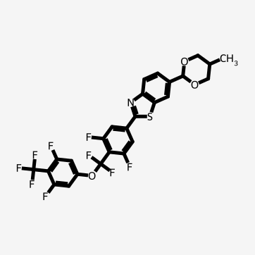 CC1COC(c2ccc3nc(-c4cc(F)c(C(F)(F)Oc5cc(F)c(C(F)(F)F)c(F)c5)c(F)c4)sc3c2)OC1